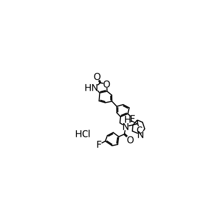 Cl.O=C(c1ccc(F)cc1)N(Cc1cc(-c2ccc3[nH]c(=O)oc3c2)ccc1F)[C@H]1CN2CCC1CC2